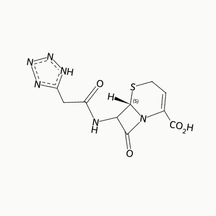 O=C(Cc1nnn[nH]1)NC1C(=O)N2C(C(=O)O)=CCS[C@@H]12